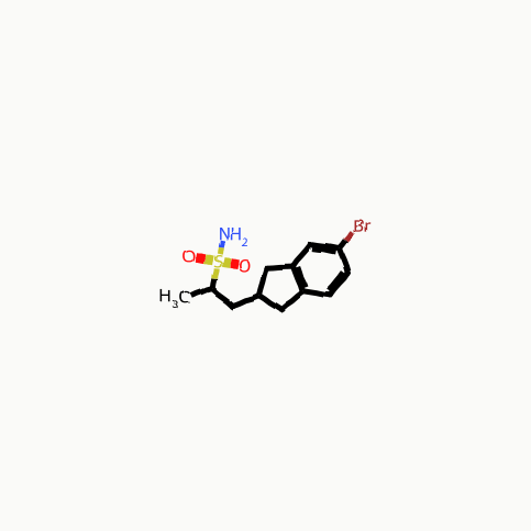 CC(CC1Cc2ccc(Br)cc2C1)S(N)(=O)=O